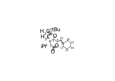 CC(C)[C@@H]1C[C@H](O[Si](C)(C)C(C)(C)C)[C@@H](C=C2CCCCC2)OC1=O